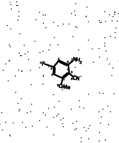 COc1cc(F)cc(N)c1C#N